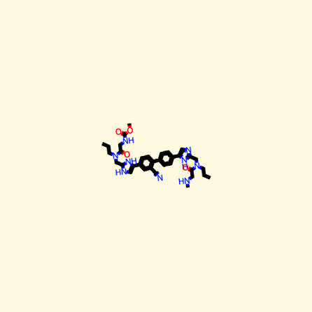 CCCN(Cc1ncc(-c2ccc(-c3ccc(C4=CNC(CN(CCC)C(=O)CNC(=O)OC)N4)cc3C#N)cc2)[nH]1)C(=O)CNC